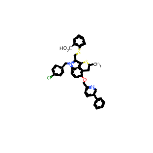 CC1Cc2c(OCc3ccc(-c4ccccc4)cn3)ccc3c2c(c(CSc2ccccc2C(=O)O)n3Cc2ccc(Cl)cc2)S1